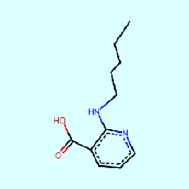 CCCCCNc1ncccc1C(=O)O